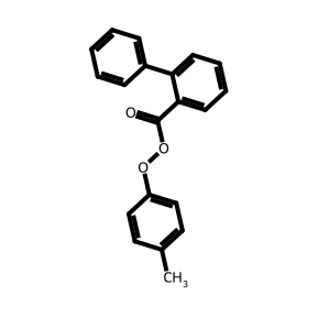 Cc1ccc(OOC(=O)c2ccccc2-c2ccccc2)cc1